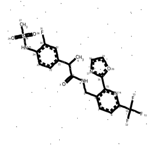 CC(C(=O)NCc1ccc(C(F)(F)F)nc1-c1ncco1)c1ccc(NS(C)(=O)=O)c(F)c1